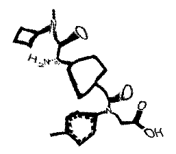 Cc1ccc(N(CC(=O)O)C(=O)C2CCC([C@H](N)C(=O)N(C)C3CCC3)CC2)cc1